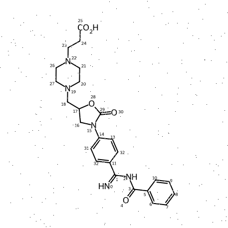 N=C(NC(=O)c1ccccc1)c1ccc(N2CC(CN3CCN(CCC(=O)O)CC3)OC2=O)cc1